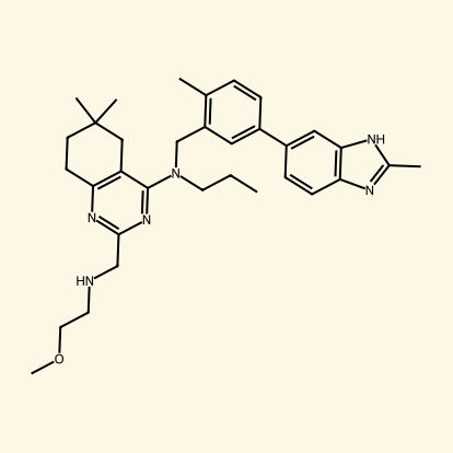 CCCN(Cc1cc(-c2ccc3nc(C)[nH]c3c2)ccc1C)c1nc(CNCCOC)nc2c1CC(C)(C)CC2